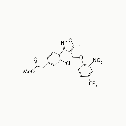 COC(=O)Cc1ccc(-c2noc(C)c2COc2ccc(C(F)(F)F)cc2[N+](=O)[O-])c(Cl)c1